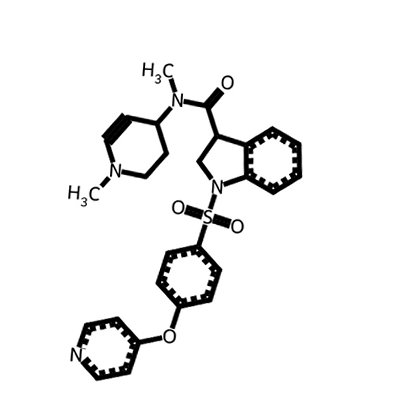 CN1C#CC(N(C)C(=O)C2CN(S(=O)(=O)c3ccc(Oc4ccncc4)cc3)c3ccccc32)CC1